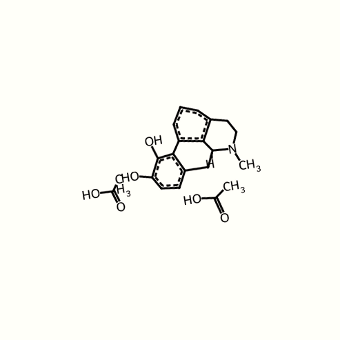 CC(=O)O.CC(=O)O.CN1CCc2cccc3c2[C@H]1Cc1ccc(O)c(O)c1-3